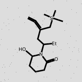 C=C=C(CC(CC)N1C(=O)CCCC1O)C[Si](C)(C)C